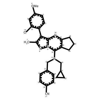 COc1ccc(-c2c(C)nn3c(N(Cc4ccc(C#N)cc4)CC4CC4)c4c(nc23)CCC4)c(Cl)c1